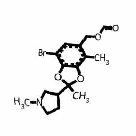 Cc1c(COC=O)cc(Br)c2c1OC(C)(C1CCN(C)C1)O2